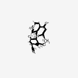 Cc1cc(=O)c2ccncc2n1-c1c(Cl)cc(C#N)cc1Cl